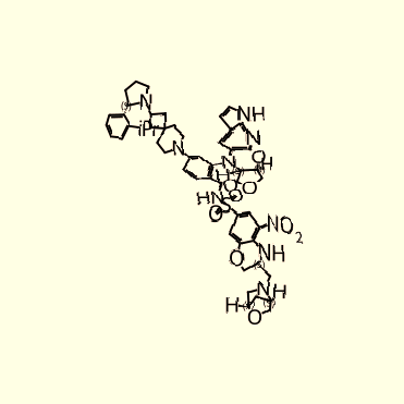 CC(C)c1ccccc1[C@@H]1CCCN1C1CC2(CCN(c3ccc(C(=O)NS(=O)(=O)c4cc5c(c([N+](=O)[O-])c4)N[C@@H](CN4C[C@@H]6C[C@H]4CO6)CO5)c(N4c5cc6cc[nH]c6nc5O[C@H]5COC[C@@H]54)c3)CC2)C1